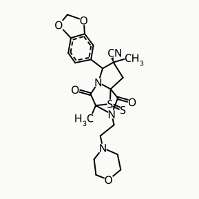 CC12C(=O)N3C(c4ccc5c(c4)OCO5)[C@@](C)(C#N)CC3(C(=O)N1CCN1CCOCC1)S2=S